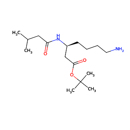 CC(C)CC(=O)N[C@@H](CCCCN)CC(=O)OC(C)(C)C